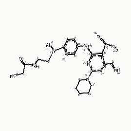 CCN(CCNC(=O)CC#N)c1ccc(Nc2nc(N3CCCCC3)nc(C=N)c2C(N)=O)cn1